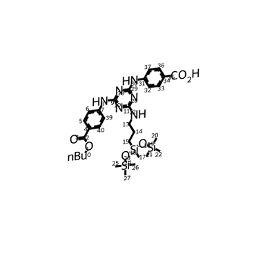 CCCCOC(=O)c1ccc(Nc2nc(NCCC[Si](C)(O[Si](C)(C)C)O[Si](C)(C)C)nc(Nc3ccc(C(=O)O)cc3)n2)cc1